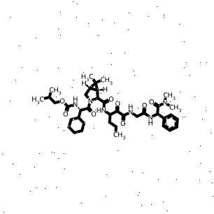 CCCC(NC(=O)C1[C@@H]2[C@H](CN1C(=O)[C@@H](NC(=O)OCC(C)C)C1CCCCC1)C2(C)C)C(=O)C(=O)NCC(=O)NC(C(=O)N(C)C)c1ccccc1